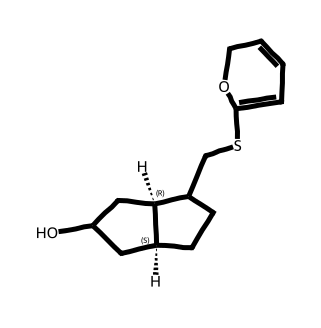 OC1C[C@@H]2CCC(CSC3=CC=CCO3)[C@@H]2C1